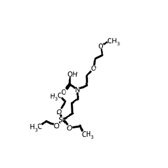 CCO[Si](CCCN(CCOCCOC)C(=O)O)(OCC)OCC